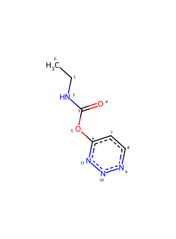 CCNC(=O)Oc1ccnnn1